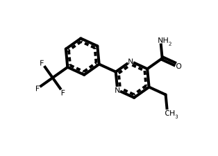 CCc1cnc(-c2cccc(C(F)(F)F)c2)nc1C(N)=O